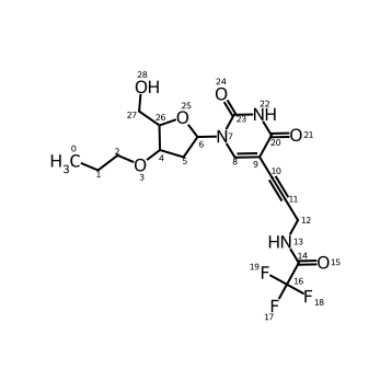 CCCOC1CC(n2cc(C#CCNC(=O)C(F)(F)F)c(=O)[nH]c2=O)OC1CO